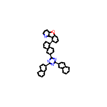 c1ccc2cc(-c3nc(-c4ccc5ccccc5c4)nc(-c4ccc5c(-c6cccc7oc8cccnc8c67)cccc5c4)n3)ccc2c1